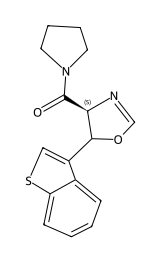 O=C([C@H]1N=COC1c1csc2ccccc12)N1CCCC1